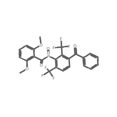 COc1cccc(OC)c1C(=O)[PH](=O)c1c(C(F)(F)F)ccc(C(=O)c2ccccc2)c1C(F)(F)F